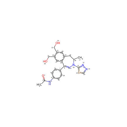 CC(=O)Nc1ccc(C2=NN(c3nncs3)C(C)Cc3cc(CO)c(CO)cc32)cc1